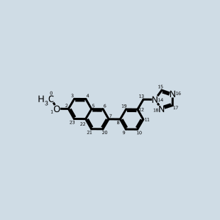 COc1ccc2cc(-c3cccc(Cn4cncn4)c3)ccc2c1